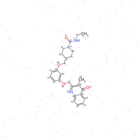 CCNC(=O)N1CCC(COc2cccc(OCc3[nH]c4ccccc4c(=O)c3C)c2)CC1